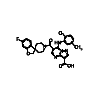 Cc1ccc(Cl)c(Nc2c(C(=O)N3CCC4(CC3)COc3cc(F)ccc34)cnc3c(C(=O)O)cnn23)c1